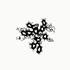 CC(C)(C)c1ccc(Nc2cc3c(cc2-c2c4c5c(c6cc7c(cc6n5-c5cc6c(-c8ccccc8)c(-c8ccccc8)oc6cc5B4)C(C)(C)CCC7(C)C)c4c2sc2ccccc24)-c2ccccc2C3(C)C)cc1